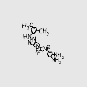 Cc1cc(C)cc(Nc2ncc3c(n2)CN(C2CN(C(=O)c4ccc(N)c(N)c4)CC2(F)F)C3)c1